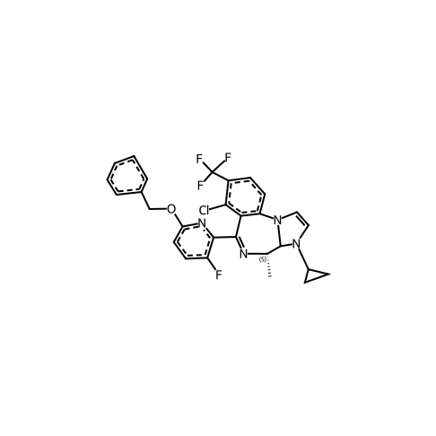 C[C@@H]1N=C(c2nc(OCc3ccccc3)ccc2F)c2c(ccc(C(F)(F)F)c2Cl)N2C=CN(C3CC3)C12